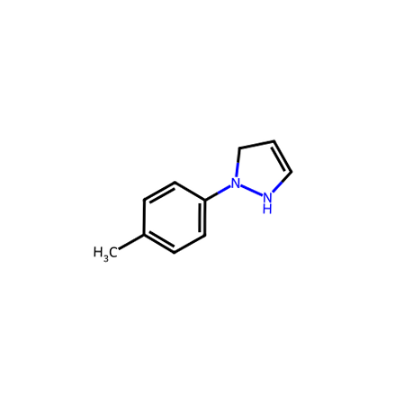 Cc1ccc(N2CC=CN2)cc1